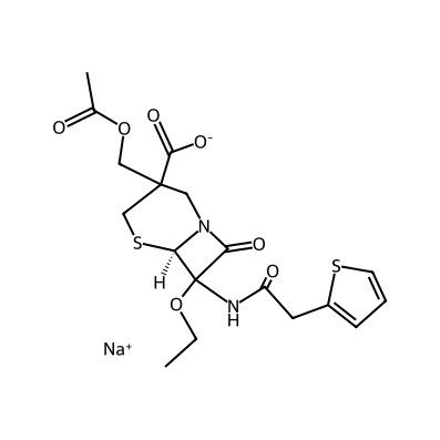 CCOC1(NC(=O)Cc2cccs2)C(=O)N2CC(COC(C)=O)(C(=O)[O-])CS[C@@H]21.[Na+]